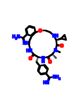 C[C@@H]1C(=O)N[C@H](Cc2ccc(C(=N)N)cc2)C(=O)NCCc2c(cccc2C(=N)N)OCCN[C@@H](C2CC2)C(=O)N1C